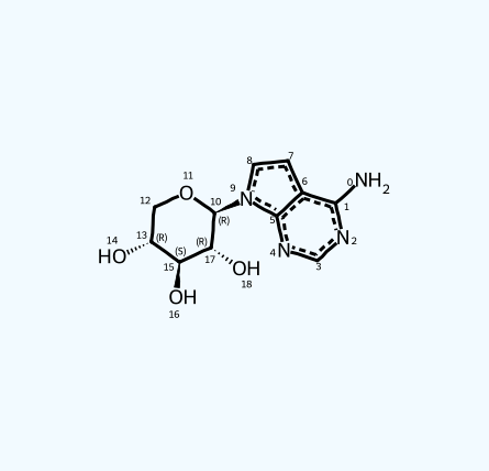 Nc1ncnc2c1ccn2[C@@H]1OC[C@@H](O)[C@H](O)[C@H]1O